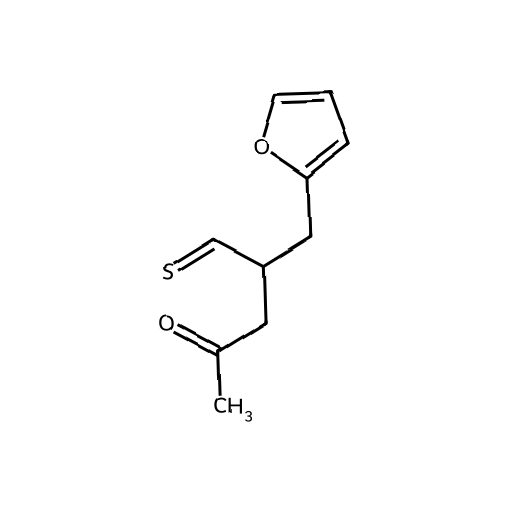 CC(=O)CC(C=S)Cc1ccco1